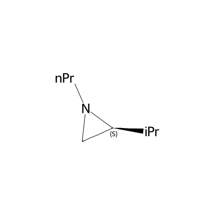 CCCN1C[C@@H]1C(C)C